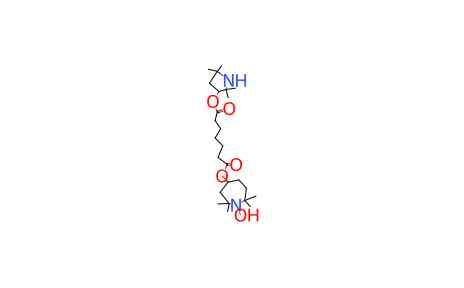 CC1(C)CC(OC(=O)CCCCCC(=O)OC2CCC(C)(C)N(O)C(C)(C)C2)C(C)(C)N1